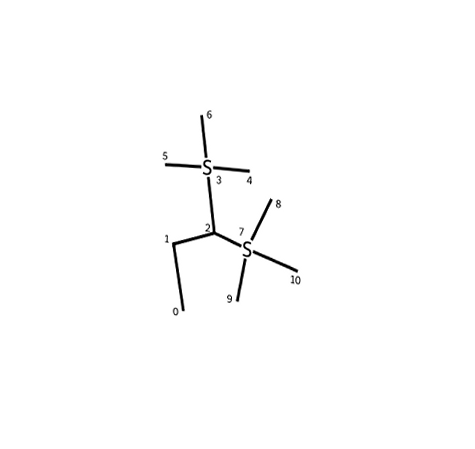 CCC(S(C)(C)C)S(C)(C)C